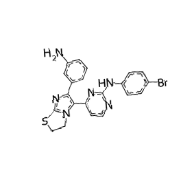 Nc1cccc(-c2nc3n(c2-c2ccnc(Nc4ccc(Br)cc4)n2)CCS3)c1